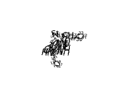 CCN(CC)CCCS(=O)(=O)N[C@H](CCc1ccccc1)c1nc(CN(C)C(=O)OCc2ccccc2)n[nH]1